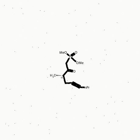 CCCC#CC[C@H](C)C(=O)CP(=O)(OC)OC